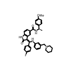 COc1ccc([C@@H](C)NC(=O)c2ccc3c(c2)C(=C(Nc2cccc(CN4CCCCC4)c2)c2ccc(F)cc2)C(=O)N3)cc1